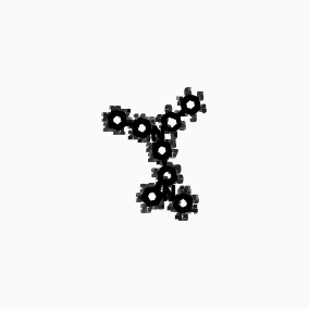 C1=C(c2ccccc2)CCC(N(c2ccc(-c3ccccc3)cc2)c2ccc(-c3ccc4c(c3)c3ccccc3n4-c3ccccc3)cc2)=C1